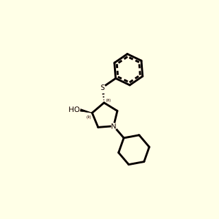 O[C@@H]1CN(C2CCCCC2)C[C@H]1Sc1ccccc1